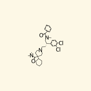 CN(C)C(=O)C1(C2CCCCC2)CCN(CC[C@H](CN(C)C(=O)c2ccccc2)c2ccc(Cl)c(Cl)c2)CC1